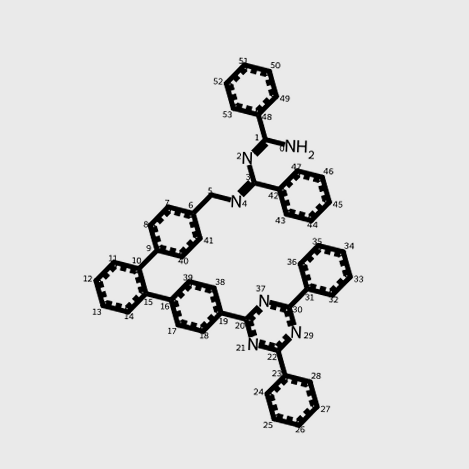 N/C(=N\C(=N/Cc1ccc(-c2ccccc2-c2ccc(-c3nc(-c4ccccc4)nc(-c4ccccc4)n3)cc2)cc1)c1ccccc1)c1ccccc1